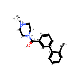 CC(C)c1ccccc1-c1cccc(C(=O)N2CCN(C)CC2)c1